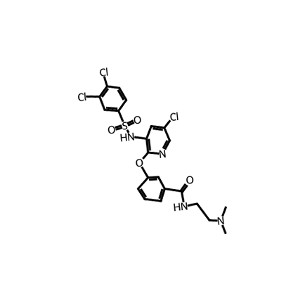 CN(C)CCNC(=O)c1cccc(Oc2ncc(Cl)cc2NS(=O)(=O)c2ccc(Cl)c(Cl)c2)c1